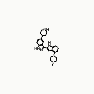 CN1CCN(c2cncc3[nH]c(-c4n[nH]c5ccc(C6CCNCC6)cc45)cc23)CC1